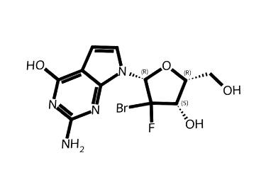 Nc1nc(O)c2ccn([C@@H]3O[C@H](CO)[C@H](O)C3(F)Br)c2n1